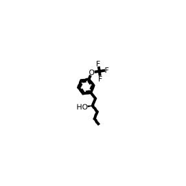 CCC[C@@H](O)Cc1cccc(OC(F)(F)F)c1